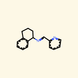 C(=N\C1CCCc2ccccc21)/c1ccccn1